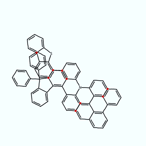 c1ccc(-c2cccc3cccc(-c4ccccc4N(c4cccc(-c5cccc6c5sc5ccccc56)c4)c4ccccc4-c4cccc5c4-c4ccccc4C5(c4ccccc4)c4ccccc4)c23)cc1